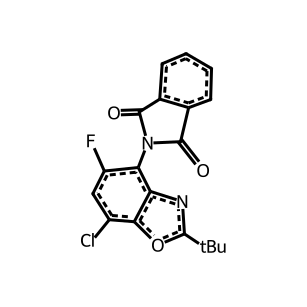 CC(C)(C)c1nc2c(N3C(=O)c4ccccc4C3=O)c(F)cc(Cl)c2o1